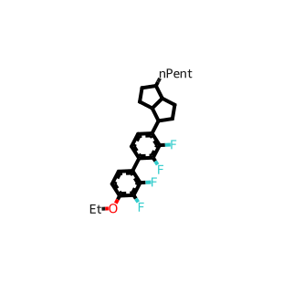 CCCCCC1CCC2C(c3ccc(-c4ccc(OCC)c(F)c4F)c(F)c3F)CCC12